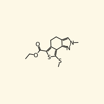 CCOC(=O)c1sc(SC)c2c1CCc1cn(C)nc1-2